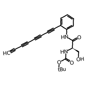 C#CC#CC#CC#Cc1ccccc1NC(=O)[C@@H](CO)NC(=O)OC(C)(C)C